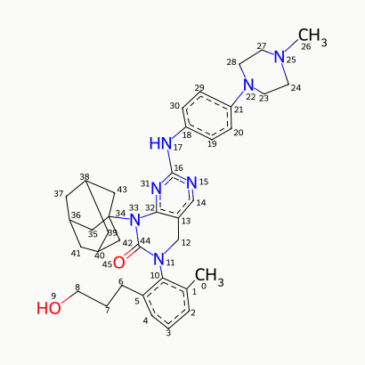 Cc1cccc(CCCO)c1N1Cc2cnc(Nc3ccc(N4CCN(C)CC4)cc3)nc2N(C23CC4CC(CC(C4)C2)C3)C1=O